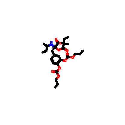 CCCOC(=O)Oc1ccc(C[C@](NC(C)CC)(OC(=O)C(C)(C)CC)C(=O)O)cc1OC(=O)OCCC